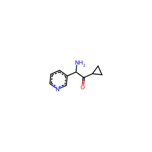 NC(C(=O)C1CC1)c1cccnc1